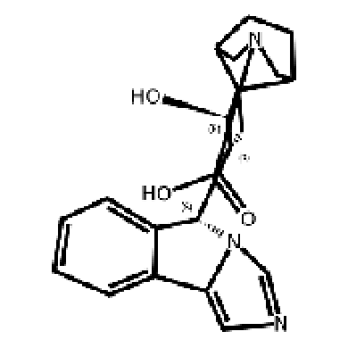 O=C(O)N1CC2CCC(C1)C21C[C@H]([C@H]2c3ccccc3-c3cncn32)[C@H]1O